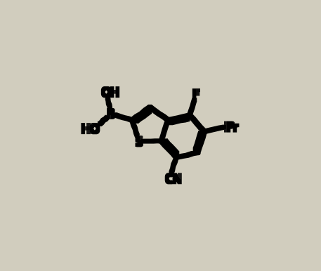 CC(C)c1cc(C#N)c2sc(B(O)O)cc2c1F